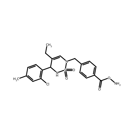 CCC1=CN(Cc2ccc(C(=O)ON)cc2)S(=O)(=O)NC1c1ccc(C)cc1Cl